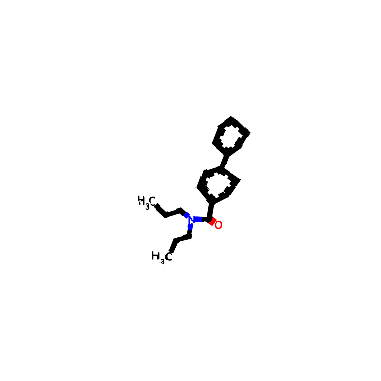 CCCN(CCC)C(=O)c1ccc(-c2ccccc2)cc1